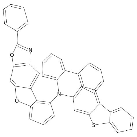 c1ccc(-c2nc3cc4c(cc3o2)oc2cccc(N(c3ccc5c(c3)sc3ccccc35)c3ccccc3-c3ccccc3)c24)cc1